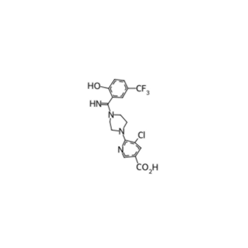 N=C(c1cc(C(F)(F)F)ccc1O)N1CCN(c2ncc(C(=O)O)cc2Cl)CC1